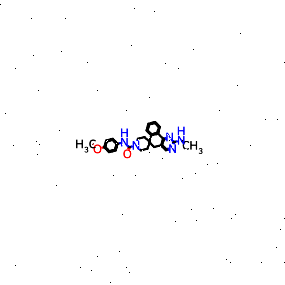 CNc1ncc2c(n1)-c1ccccc1C1(CCN(C(=O)Nc3ccc(OC)cc3)CC1)C2